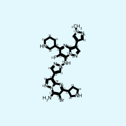 Cn1cc(-c2cnn3c(Nn4cc(-c5cnn6c(N)c(Br)c(C7CCNC7)nc56)cn4)c(F)c(C4CCCNC4)nc23)cn1